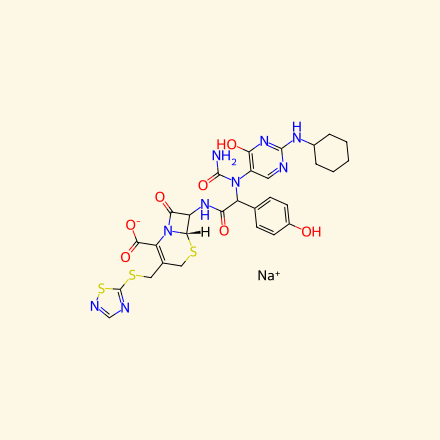 NC(=O)N(c1cnc(NC2CCCCC2)nc1O)C(C(=O)NC1C(=O)N2C(C(=O)[O-])=C(CSc3ncns3)CS[C@@H]12)c1ccc(O)cc1.[Na+]